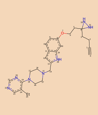 C#CCCC1(CCOc2ccc3cc(CN4CCN(c5ncncc5CC)CC4)[nH]c3c2)NN1